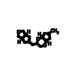 CN1C[C@@H]2OC(CN3C[C@H]4COC[C@H]4C3)CO[C@@H]2C1